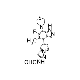 Cc1c(F)c(N2CCSCC2)c2[nH]ncc2c1-c1ccn2nc(NC=O)cc2c1